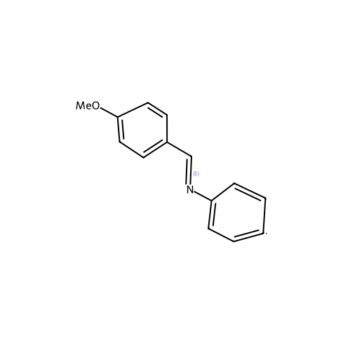 COc1ccc(/C=N/c2cc[c]cc2)cc1